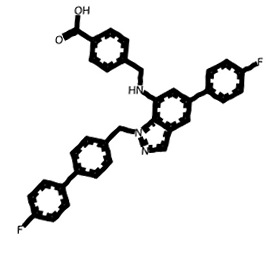 O=C(O)c1ccc(CNc2cc(-c3ccc(F)cc3)cc3cnn(Cc4ccc(-c5ccc(F)cc5)cc4)c23)cc1